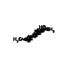 C=CCCCOc1ccc(/C=C/c2ccc(-c3ccc(C4CCC(C(O)CCC)CC4)c(F)c3F)cc2)c(F)c1F